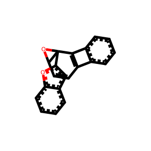 C1=CC2OC2(c2cc3ccccc3o2)C2=C1c1ccccc12